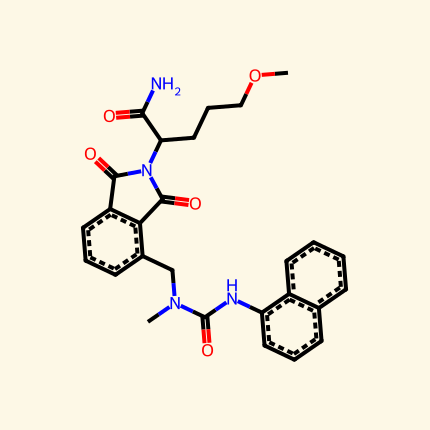 COCCCC(C(N)=O)N1C(=O)c2cccc(CN(C)C(=O)Nc3cccc4ccccc34)c2C1=O